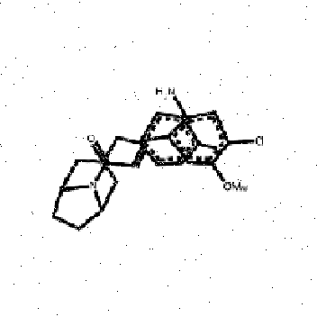 COc1cc(C=CC(=O)N2C3CCC2CN(Cc2ccc(F)cc2)C3)c(N)cc1Cl